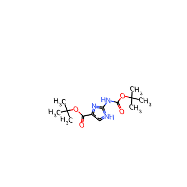 CC(C)(C)OC(=O)Nc1nc(C(=O)OC(C)(C)C)c[nH]1